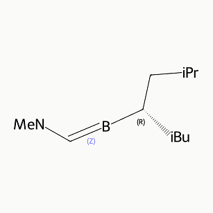 CCC(C)[C@H](/B=C\NC)CC(C)C